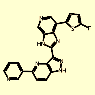 Fc1ccc(-c2cncc3[nH]c(-c4n[nH]c5ccc(-c6cccnc6)nc45)nc23)s1